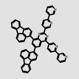 c1cncc(-c2ccc(-c3nc(-c4ccc(-c5cccnc5)nc4)c4cc(-c5ccc6c7c(cccc57)-c5ccccc5-6)cc(-c5ccc6c7c(cccc57)-c5ccccc5-6)c4n3)cn2)c1